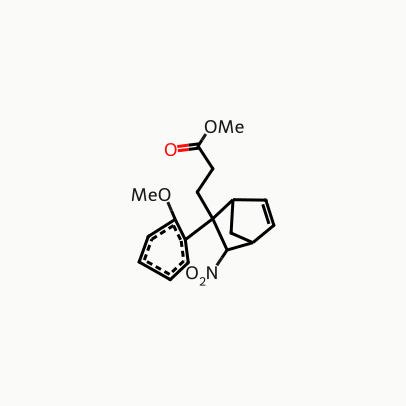 COC(=O)CCC1(c2ccccc2OC)C2C=CC(C2)C1[N+](=O)[O-]